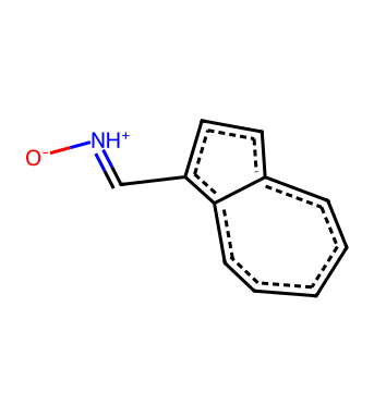 [O-][NH+]=Cc1ccc2cccccc1-2